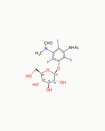 CC(=O)Nc1c(I)c(O[C@@H]2O[C@H](CO)[C@@H](O)[C@H](O)[C@H]2O)c(I)c(N(C)C=O)c1I